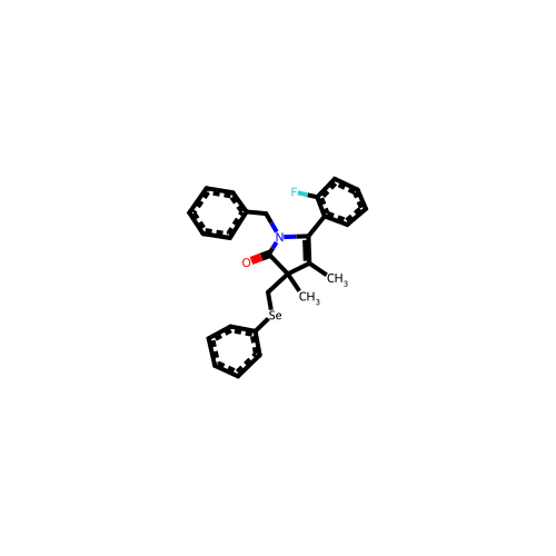 CC1=C(c2ccccc2F)N(Cc2ccccc2)C(=O)C1(C)C[Se]c1ccccc1